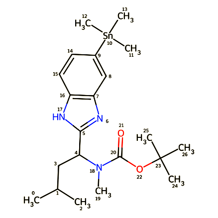 CC(C)CC(c1nc2c[c]([Sn]([CH3])([CH3])[CH3])ccc2[nH]1)N(C)C(=O)OC(C)(C)C